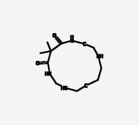 CC1(C)C(=O)NCCNCCCCNCNC1=O